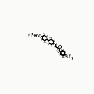 CCCCC[C@H]1CC[C@H]([C@H]2CC[C@H](CCC(=O)Oc3ccc(C(F)(F)F)cc3)CC2)CC1